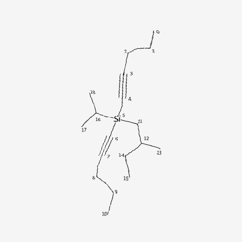 CCCC#C[Si](C#CCCC)(CC(C)CC)C(C)C